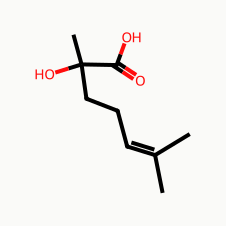 CC(C)=CCCC(C)(O)C(=O)O